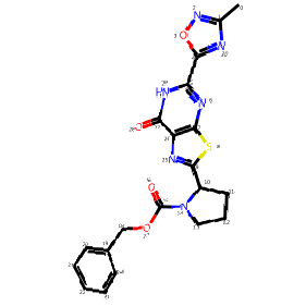 Cc1noc(-c2nc3sc(C4CCCN4C(=O)OCc4ccccc4)nc3c(=O)[nH]2)n1